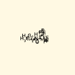 CCC1(CC)C[C@H]1NC(=O)c1cc(C(F)(F)F)cc(C(F)(F)F)c1